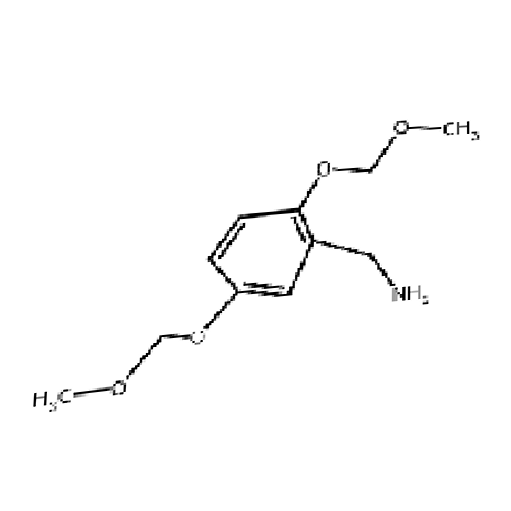 COCOc1ccc(OCOC)c(CN)c1